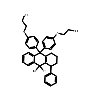 CCC1(CC)C2=C(CCCC2c2ccccc2)C(c2ccc(OCCO)cc2)(c2ccc(OCCO)cc2)c2ccccc21